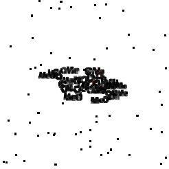 COCc1cc(COc2cccc(OCc3cc(COC)c(OOCc4cc(C5(c6cc(COC)c(O)c(COC)c6)CCCC(COCc6cc(C7(c8cc(COC)c(O)c(COC)c8)CCCC7)cc(COC)c6O)C5)cc(COC)c4O)c(COC)c3)c2)cc(COC)c1O